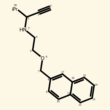 C#CC(NCCOCc1ccc2ccccc2c1)C(C)C